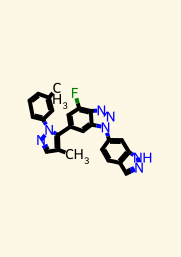 Cc1cccc(-n2ncc(C)c2-c2cc(F)c3nnn(-c4ccc5cn[nH]c5c4)c3c2)c1